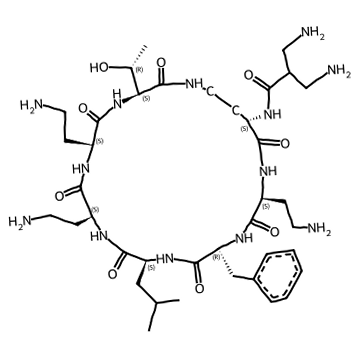 CC(C)C[C@@H]1NC(=O)[C@@H](Cc2ccccc2)NC(=O)[C@H](CCN)NC(=O)[C@@H](NC(=O)C(CN)CN)CCNC(=O)[C@H]([C@@H](C)O)NC(=O)[C@H](CCN)NC(=O)[C@H](CCN)NC1=O